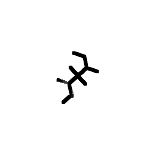 CCC(C)C(C)(C)[C@@H](C)SC